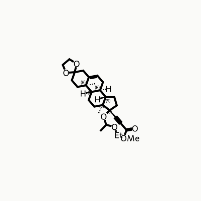 CCOC(C)O[C@@]1(C#CC(=O)OC)CC[C@H]2[C@@H]3CC=C4CC5(CC[C@]4(C)[C@H]3CC[C@@]21C)OCCO5